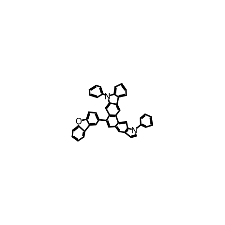 c1ccc(-n2ccc3cc4cc(-c5ccc6oc7ccccc7c6c5)c5cc6c(cc5c4cc32)c2ccccc2n6-c2ccccc2)cc1